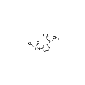 CCN(CC)c1cccc(NC(=O)CCl)c1